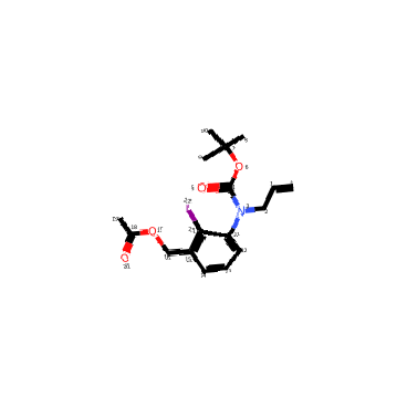 C=CCN(C(=O)OC(C)(C)C)c1cccc(COC(C)=O)c1I